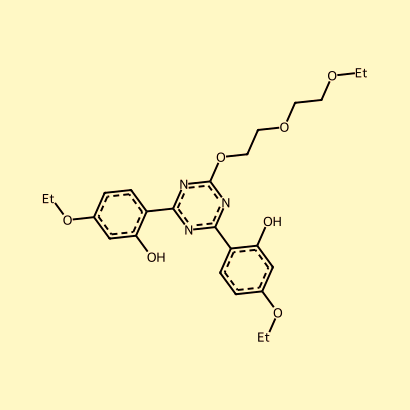 CCOCCOCCOc1nc(-c2ccc(OCC)cc2O)nc(-c2ccc(OCC)cc2O)n1